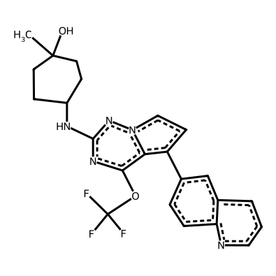 CC1(O)CCC(Nc2nc(OC(F)(F)F)c3c(-c4ccc5ncccc5c4)ccn3n2)CC1